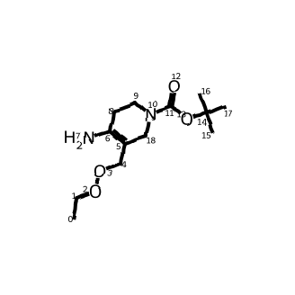 CCOOCC1=C(N)CCN(C(=O)OC(C)(C)C)C1